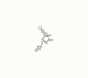 C/C(=C\C=C\[C@@H](C)CN(C)C(=O)N1CCCC1)[C@H]1OC(=O)C[C@H](O)CC[C@@](C)(O)[C@@H](OC(=O)N2CCN(C3CCCCCC3)CC2)/C=C/[C@@H]1C